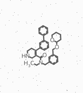 CCN(Cc1cccc(COC2CCCCO2)c1)C(=O)C1=C(c2cccc(-c3ccccc3)c2)CCNC1